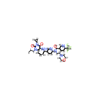 CCCn1c2c(c(=O)n(C3CC3)c1=O)NC(c1ccc(N(CCN3CCOCC3)C(=O)c3ccc(C(F)(F)F)nc3)nc1)=CC=C2